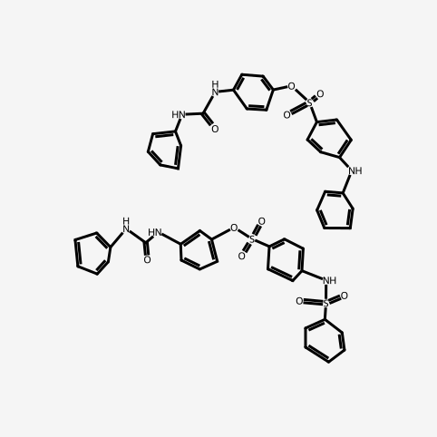 O=C(Nc1ccccc1)Nc1ccc(OS(=O)(=O)c2ccc(Nc3ccccc3)cc2)cc1.O=C(Nc1ccccc1)Nc1cccc(OS(=O)(=O)c2ccc(NS(=O)(=O)c3ccccc3)cc2)c1